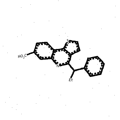 CCC(c1ccccc1)c1nc2cc(C(=O)O)ccc2c2sccc12